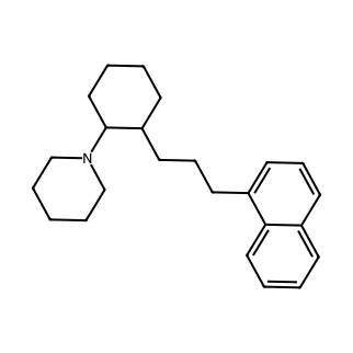 c1ccc2c(CCCC3CCCCC3N3CCCCC3)cccc2c1